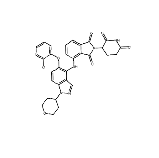 O=C1CCC(N2C(=O)c3cccc(Nc4c(Oc5ccccc5Cl)ccc5c4cnn5C4CCOCC4)c3C2=O)C(=O)N1